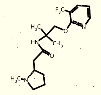 CN1CCCC1CC(=O)NC(C)(C)COc1ncccc1C(F)(F)F